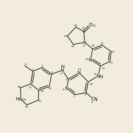 Cc1cc(Nc2ncc(C#N)c(Nc3cccc(N4CCCC4=O)n3)n2)cc2c1CNCC2